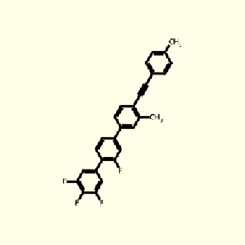 Cc1ccc(C#Cc2ccc(-c3ccc(-c4cc(F)c(F)c(F)c4)c(F)c3)cc2C)cc1